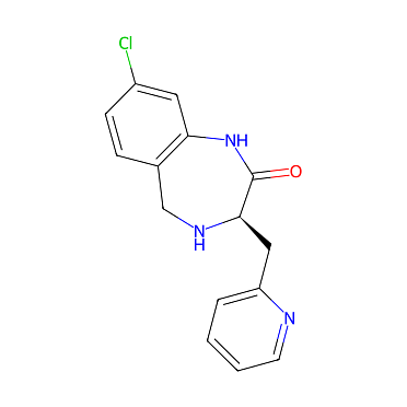 O=C1Nc2cc(Cl)ccc2CN[C@@H]1Cc1ccccn1